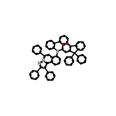 c1ccc(-c2ccccc2N(c2ccc3c(c2)C(c2ccccc2)(c2ccccc2)c2ccccc2-3)c2cccc3c2cc(-c2ccccc2)n2nc(-c4ccccc4)c(-c4ccccc4)c32)cc1